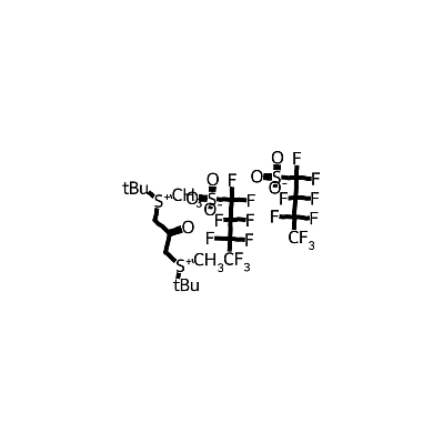 C[S+](CC(=O)C[S+](C)C(C)(C)C)C(C)(C)C.O=S(=O)([O-])C(F)(F)C(F)(F)C(F)(F)C(F)(F)F.O=S(=O)([O-])C(F)(F)C(F)(F)C(F)(F)C(F)(F)F